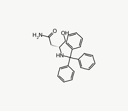 NC(=O)C[C@H](CO)NC(c1ccccc1)(c1ccccc1)c1ccccc1